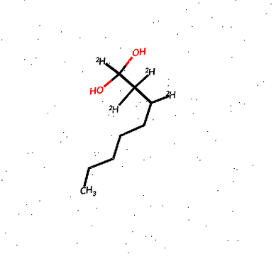 [2H]C(CCCCC)C([2H])([2H])C([2H])(O)O